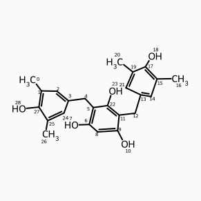 Cc1cc(Cc2c(O)cc(O)c(Cc3cc(C)c(O)c(C)c3)c2O)cc(C)c1O